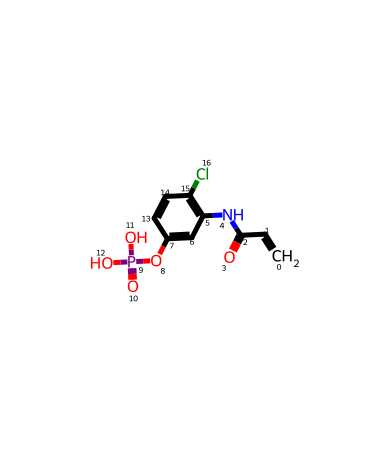 C=CC(=O)Nc1cc(OP(=O)(O)O)ccc1Cl